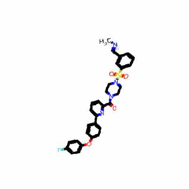 C/N=C/c1cccc(S(=O)(=O)N2CCN(C(=O)c3cccc(-c4ccc(Oc5ccc(F)cc5)cc4)n3)CC2)c1